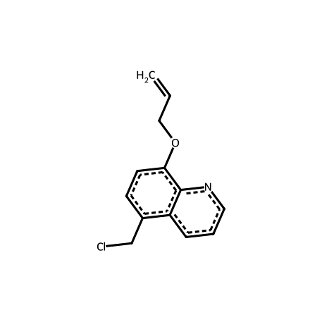 C=CCOc1ccc(CCl)c2cccnc12